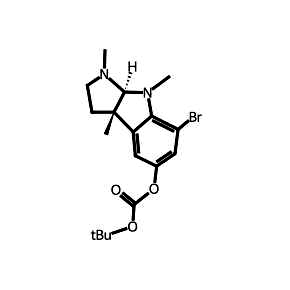 CN1CC[C@@]2(C)c3cc(OC(=O)OC(C)(C)C)cc(Br)c3N(C)[C@H]12